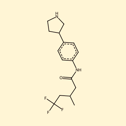 CC(CC(=O)Nc1ccc(C2CCNC2)cc1)CC(F)(F)F